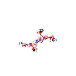 CCC(CC)COC(=O)CCCCCCC(O)CN(CCCCC(=O)OCCN1CCN(CCSSCCCCN(CC(O)CCCCC(=O)OC(C)C)CC(O)CCCCC(=O)OC(C)C)CC1)CC(O)CCCCCCC(=O)OCC(CC)CC